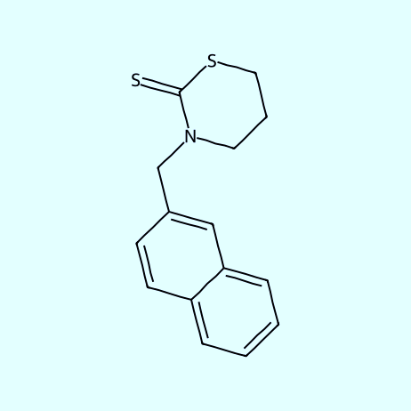 S=C1SCCCN1Cc1ccc2ccccc2c1